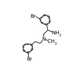 CN(CCc1cccc(Br)c1)CC(N)c1cccc(Br)c1